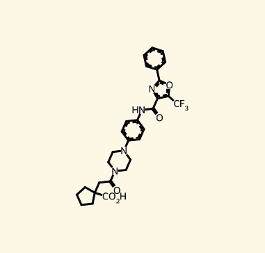 O=C(Nc1ccc(N2CCN(C(=O)CC3(C(=O)O)CCCC3)CC2)cc1)c1nc(-c2ccccc2)oc1C(F)(F)F